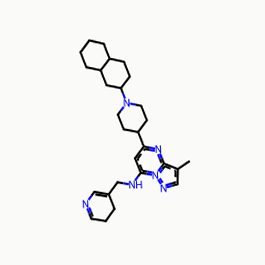 Cc1cnn2c(NCC3=CN=CCC3)cc(C3CCN(C4CCC5CCCCC5C4)CC3)nc12